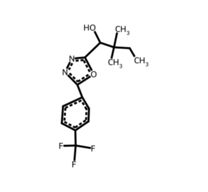 CCC(C)(C)C(O)c1nnc(-c2ccc(C(F)(F)F)cc2)o1